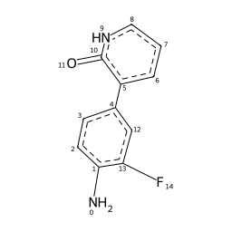 Nc1ccc(-c2ccc[nH]c2=O)cc1F